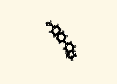 CC(C)(C)N1CCC2(CCC(N3CCC4N=CN=C4C3)CC2)CC1